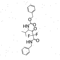 CC(C)C(NC(=O)OCc1ccccc1)C(=O)C(F)(F)C(=O)NCc1ccccc1